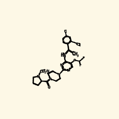 CC(Nc1nc(N2CCN(C(=O)[C@H]3CCCN3C(=O)O)CC2)ncc1OC(F)F)c1ccc(Cl)cc1Cl